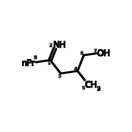 [CH2]CCC(=N)CC(C)CO